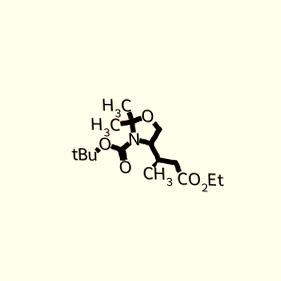 CCOC(=O)C[C@@H](C)C1COC(C)(C)N1C(=O)OC(C)(C)C